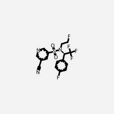 N#Cc1cncc(S(=O)(=O)N(CCF)[C@H](c2ccc(F)cc2)C(F)(F)F)c1